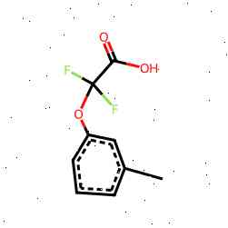 Cc1cccc(OC(F)(F)C(=O)O)c1